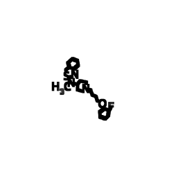 CN(C1=Nc2ccccc2CS1)C1CCN(CCCCOc2ccccc2F)CC1